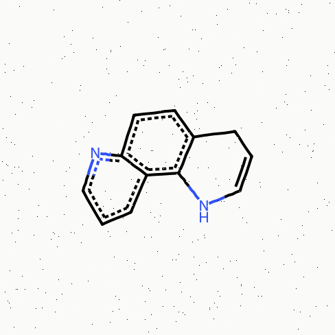 C1=CNc2c(ccc3ncccc23)C1